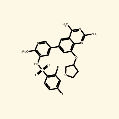 COc1ncc(-c2cc(OC3CCOC3)c3nc(N)nc(C)c3c2)cc1NS(=O)(=O)c1ccc(F)cc1F